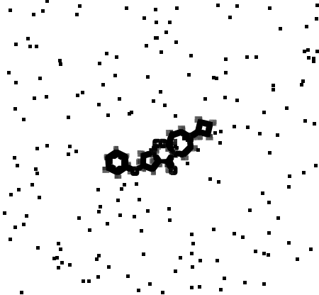 O=C([C@H]1C[C@@H](Oc2ccccc2)CN1C(=O)O)N1CCCN(C2CCC2)CC1